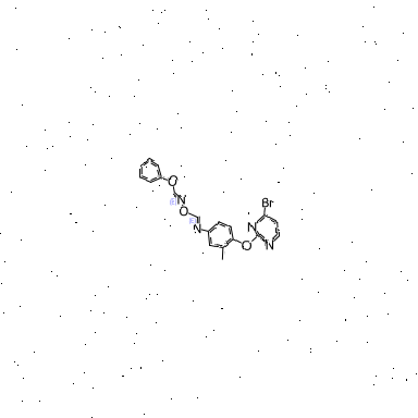 Cc1cc(/N=C/O/N=C/Oc2ccccc2)ccc1Oc1nccc(Br)n1